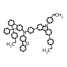 C=Cc1ccc(-c2ccc3c(c2)c2cc(-c4ccc(N(c5ccc6c(c5)C(c5ccccc5)(c5ccc(C=C)cc5)c5ccccc5-6)c5ccc6c(c5)oc5ccccc56)cc4)ccc2n3-c2ccc(C=C)cc2)cc1